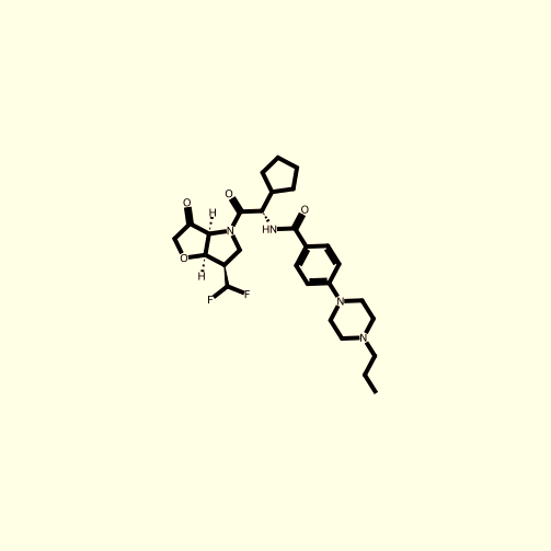 CCCN1CCN(c2ccc(C(=O)N[C@H](C(=O)N3C[C@@H](C(F)F)[C@H]4OCC(=O)[C@H]43)C3CCCC3)cc2)CC1